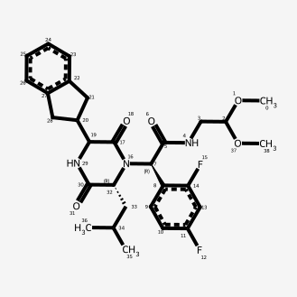 COC(CNC(=O)[C@@H](c1ccc(F)cc1F)N1C(=O)C(C2Cc3ccccc3C2)NC(=O)[C@H]1CC(C)C)OC